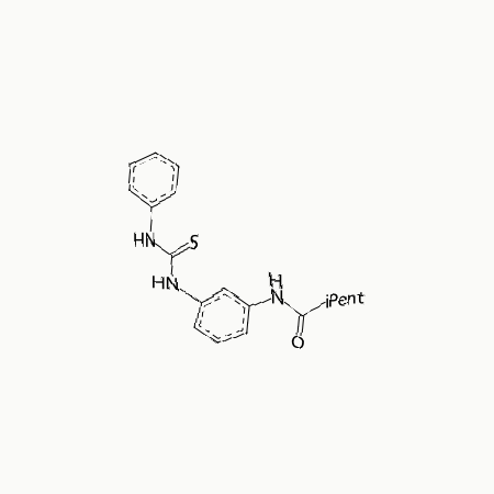 CCCC(C)C(=O)Nc1cccc(NC(=S)Nc2ccccc2)c1